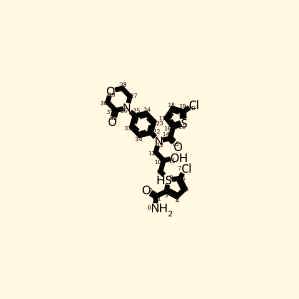 NC(=O)C1=CC=C(Cl)[SH]1CC(O)CN(C(=O)c1ccc(Cl)s1)c1ccc(N2CCOCC2=O)cc1